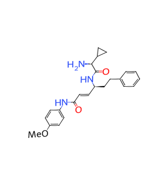 COc1ccc(NC(=O)/C=C/[C@H](CCc2ccccc2)NC(=O)[C@@H](N)C2CC2)cc1